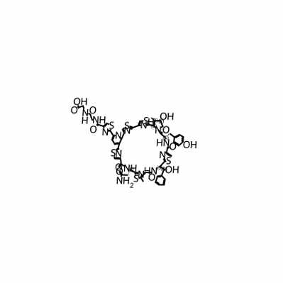 Cc1sc2nc1C(=O)N[C@@H]([C@H](O)c1ccccc1)c1nc(cs1)C(=O)N[C@@H](Cc1ccc(O)cc1)C(=O)N1C[C@H](O)[C@H](C)[C@H]1c1nc(cs1)-c1nc(cs1)-c1nc(-c3nc(C(=O)NCC(=O)NCC(=O)O)cs3)ccc1-c1nc(cs1)C(=O)N[C@H]2CC(N)=O